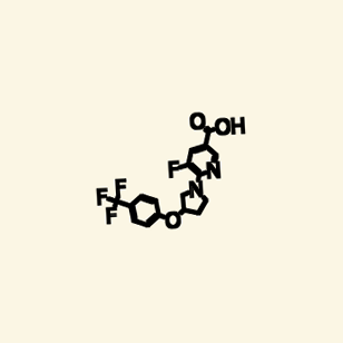 O=C(O)c1cnc(N2CCC(Oc3ccc(C(F)(F)F)cc3)C2)c(F)c1